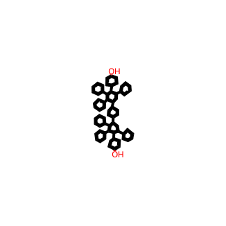 Oc1ccc(-c2c(-c3ccccc3)cc(-c3ccc(-c4cc(-c5ccccc5)c(-c5ccc(O)cc5)c(-c5ccccc5)c4-c4ccccc4)cc3)c(-c3ccccc3)c2-c2ccccc2)cc1